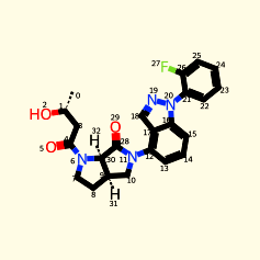 C[C@@H](O)CC(=O)N1CC[C@@H]2CN(c3cccc4c3cnn4-c3ccccc3F)C(=O)[C@@H]21